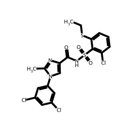 CCSc1cccc(Cl)c1S(=O)(=O)NC(=O)c1cn(-c2cc(Cl)cc(Cl)c2)c(C)n1